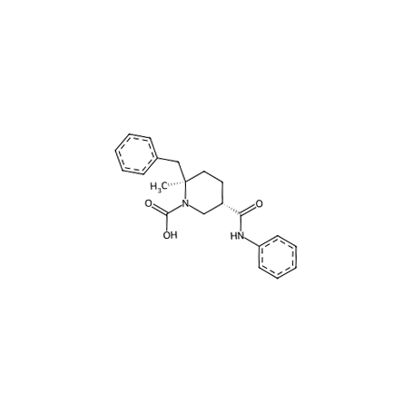 C[C@]1(Cc2ccccc2)CC[C@H](C(=O)Nc2ccccc2)CN1C(=O)O